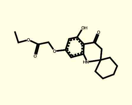 CCOC(=O)COc1cc(O)c2c(c1)NC1(CCCCC1)CC2=O